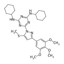 COc1cc(-c2cc(SC)n(-c3nc(NC4CCCCC4)nc(NC4CCCCC4)n3)n2)cc(OC)c1OC